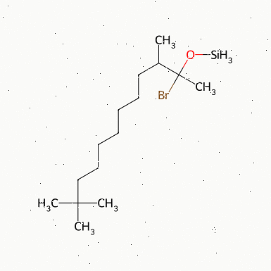 CC(CCCCCCCC(C)(C)C)C(C)(Br)O[SiH3]